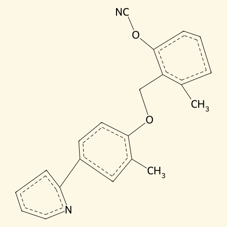 Cc1cc(-c2ccccn2)ccc1OCc1c(C)cccc1OC#N